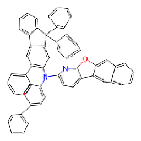 c1ccc(-c2ccc(N(c3ccc4c(n3)oc3cc5ccccc5cc34)c3cc4c(cc3-c3ccccc3)-c3ccccc3C4(c3ccccc3)c3ccccc3)cc2)cc1